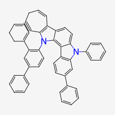 C1#Cc2c(c3ccc4c(c5ccc(-c6ccccc6)cc5n4-c4ccccc4)c3n2-c2ccc(-c3ccccc3)cc2C2=CC=CCC2)C=CC1